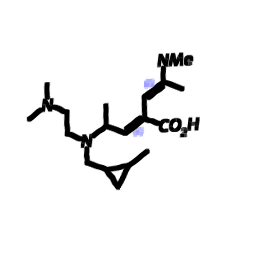 CN/C(C)=C/C(=C\C(C)N(CCN(C)C)CC1CC1C)C(=O)O